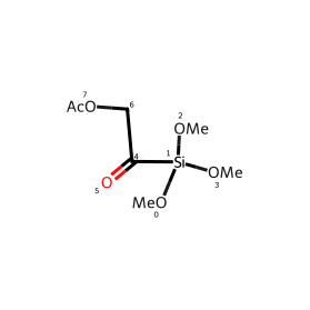 CO[Si](OC)(OC)C(=O)COC(C)=O